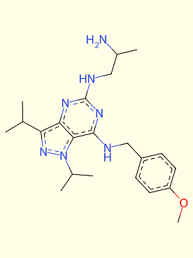 COc1ccc(CNc2nc(NCC(C)N)nc3c(C(C)C)nn(C(C)C)c23)cc1